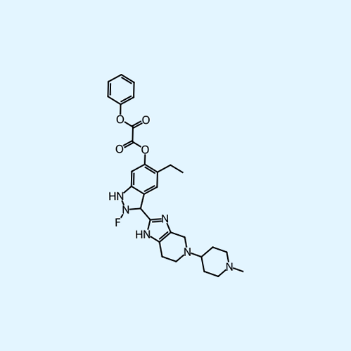 CCc1cc2c(cc1OC(=O)C(=O)Oc1ccccc1)NN(F)C2c1nc2c([nH]1)CCN(C1CCN(C)CC1)C2